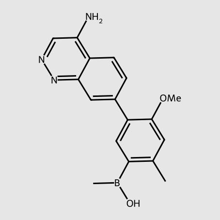 COc1cc(C)c(B(C)O)cc1-c1ccc2c(N)cnnc2c1